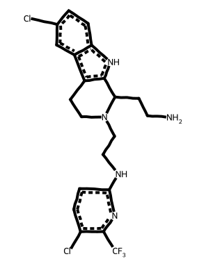 NCCC1c2[nH]c3ccc(Cl)cc3c2CCN1CCNc1ccc(Cl)c(C(F)(F)F)n1